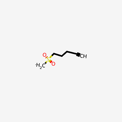 C#CCCCS([CH2])(=O)=O